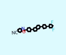 N#Cc1ccc2nc(-c3ccc(-c4ccc5cc(-c6ccc(-c7cc(F)cc(F)c7)cc6)ccc5c4)cc3)oc2c1